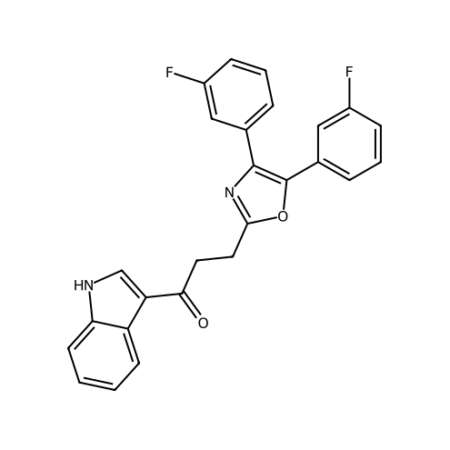 O=C(CCc1nc(-c2cccc(F)c2)c(-c2cccc(F)c2)o1)c1c[nH]c2ccccc12